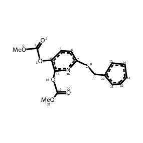 COC(=O)Oc1ccc(SCc2ccccc2)nc1OC(=O)OC